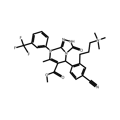 COC(=O)C1=C(C)N(c2cccc(C(F)(F)F)c2)c2n[nH]c(=O)n2C1c1ccc(C#N)cc1CCC[N+](C)(C)C